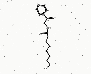 CCCCCCCCC(=O)NCC(=O)c1ccccc1